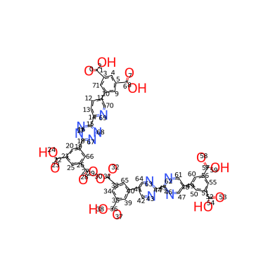 O=C(O)c1cc(C(=O)O)cc(-c2ccc(-c3nnc(-c4cc(C(=O)O)cc(C(=O)OOC(=O)c5cc(C(=O)O)cc(-c6cnc(-c7ncc(-c8cc(C(=O)O)cc(C(=O)O)c8)cn7)nc6)c5)c4)nn3)nc2)c1